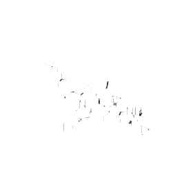 C=C[C@@H]1C[C@]1(NC(=O)[C@@H]1C[C@@H](O)CN1C(=O)[C@@H](CC(=O)OC(C)(C)C)C(C)(C)C)C(=O)NS(=O)(=O)C1CC1